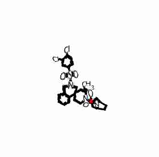 CCOC(=O)N1C2CCC1CC(N1CCC3(CC1)CN(S(=O)(=O)c1ccc(Cl)c(Cl)c1)Cc1ccccc13)C2